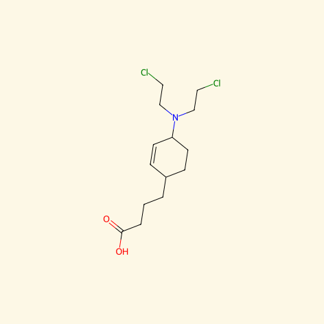 O=C(O)CCCC1C=CC(N(CCCl)CCCl)CC1